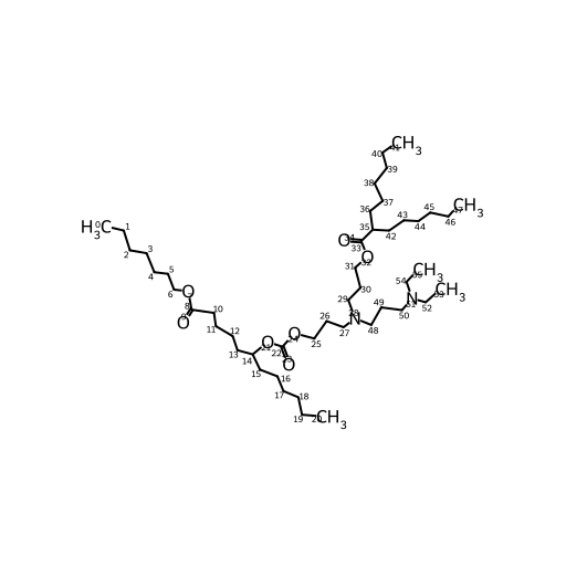 CCCCCCCOC(=O)CCCCC(CCCCCC)OC(=O)OCCCN(CCCOC(=O)C(CCCCCC)CCCCCC)CCCN(CC)CC